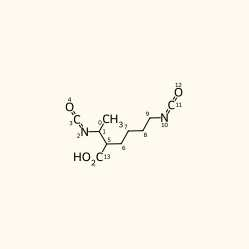 CC(N=C=O)C(CCCCN=C=O)C(=O)O